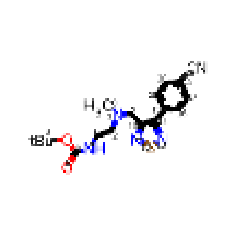 CN(CCNC(=O)OC(C)(C)C)Cc1nsnc1-c1ccc(C#N)cc1